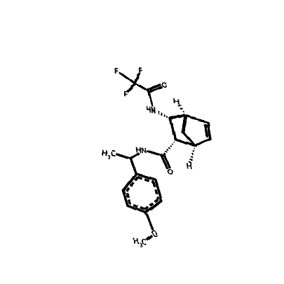 COc1ccc(C(C)NC(=O)[C@@H]2[C@H](NC(=O)C(F)(F)F)[C@H]3C=C[C@@H]2C3)cc1